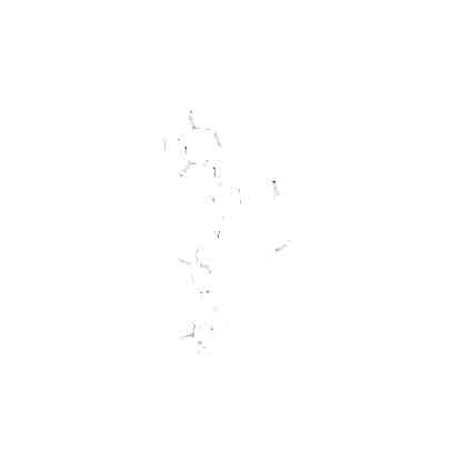 CC(=O)OC[C@H]1[C@@H](OC(C)=O)[C@H](n2ccc(=O)[nH]c2=O)O[C@@H]1COP(=O)(O)OP(=O)(O)CP(=O)(O)O